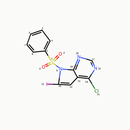 O=S(=O)(c1ccccc1)n1c(I)cc2c(Cl)ncnc21